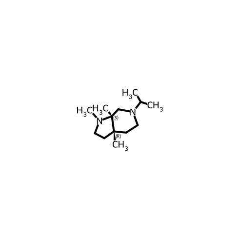 CC(C)N1CC[C@]2(C)CCN(C)[C@]2(C)C1